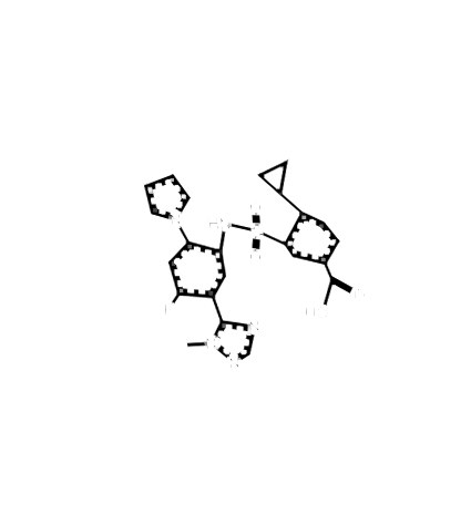 Cn1ncnc1-c1cc(NS(=O)(=O)c2cc(C(=O)O)ccc2C2CC2)c(-n2cccc2)cc1F